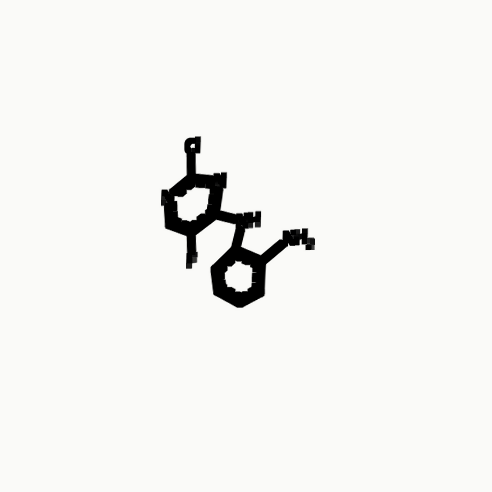 Nc1ccccc1Nc1nc(Cl)ncc1F